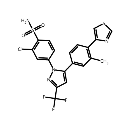 Cc1cc(-c2cc(C(F)(F)F)nn2-c2ccc(S(N)(=O)=O)c(Cl)c2)ccc1-c1cscn1